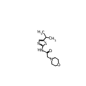 CC(C)c1cnc(NC(=O)CN2CCOCC2)s1